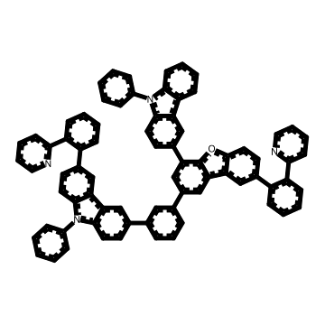 c1ccc(-n2c3ccc(-c4cccc(-c5cc(-c6ccc7c(c6)c6ccccc6n7-c6ccccc6)c6oc7ccc(-c8ccccc8-c8ccccn8)cc7c6c5)c4)cc3c3cc(-c4ccccc4-c4ccccn4)ccc32)cc1